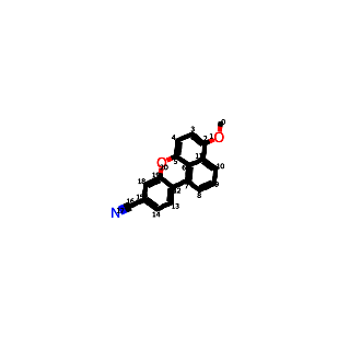 COc1ccc2c3c(cccc13)-c1ccc(C#N)cc1O2